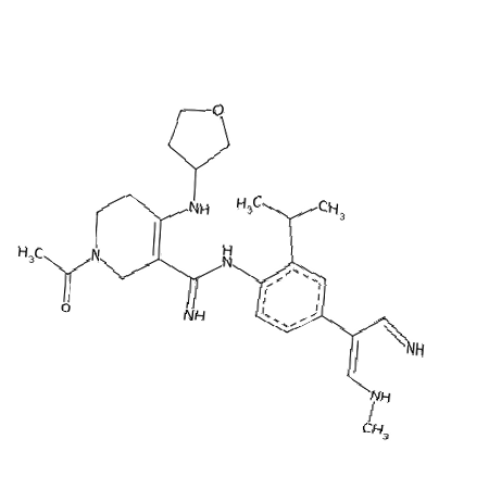 CN/C=C(\C=N)c1ccc(NC(=N)C2=C(NC3CCOC3)CCN(C(C)=O)C2)c(C(C)C)c1